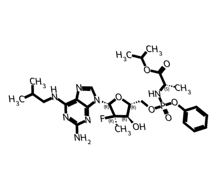 CC(C)CNc1nc(N)nc2c1ncn2[C@@H]1O[C@H](COP(=O)(N[C@@H](C)C(=O)OC(C)C)Oc2ccccc2)[C@@H](O)[C@@]1(C)F